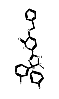 C[C@@H]1NC(c2ccc(OCc3ccccc3)c(=O)[nH]2)=N[C@]1(c1ccc(F)cc1)c1ccnc(F)c1